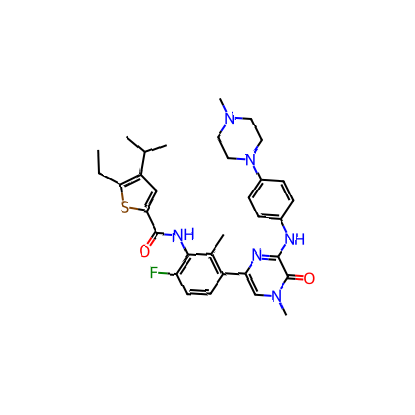 CCc1sc(C(=O)Nc2c(F)ccc(-c3cn(C)c(=O)c(Nc4ccc(N5CCN(C)CC5)cc4)n3)c2C)cc1C(C)C